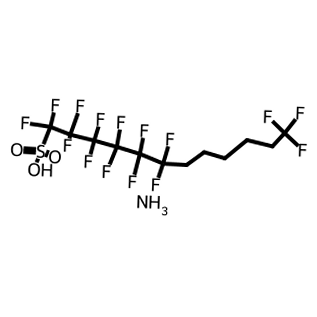 N.O=S(=O)(O)C(F)(F)C(F)(F)C(F)(F)C(F)(F)C(F)(F)C(F)(F)CCCCCC(F)(F)F